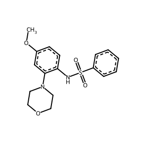 COc1ccc(NS(=O)(=O)c2ccccc2)c(N2CCOCC2)c1